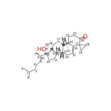 CC(C)CCC[C@@H](C)[C@]1(O)CC[C@H]2[C@@H]3CC=C4C5(CC5)C(=O)CC[C@]4(C)[C@H]3CC[C@@]21C